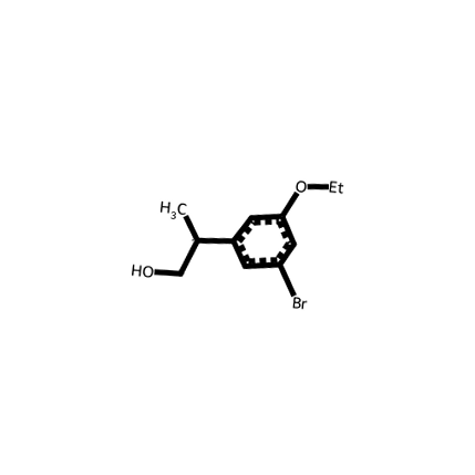 CCOc1cc(Br)cc([C](C)CO)c1